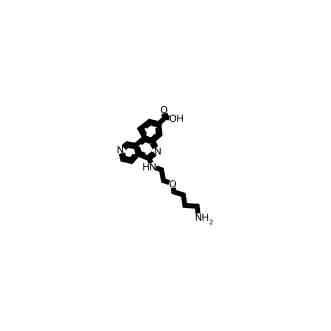 NCCCCOCCNc1nc2cc(C(=O)O)ccc2c2cnccc12